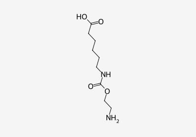 NCCOC(=O)NCCCCCC(=O)O